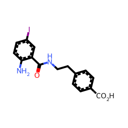 Nc1ccc(I)cc1C(=O)NCCc1ccc(C(=O)O)cc1